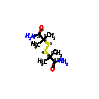 CC(C)(SSC(C)(C)C(N)=O)C(N)=O